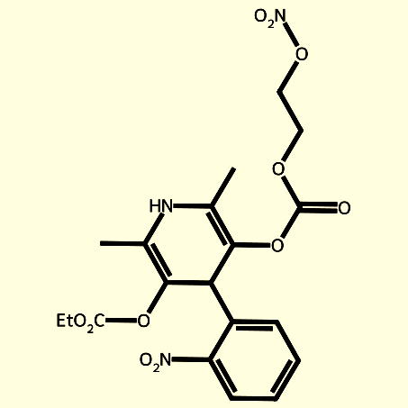 CCOC(=O)OC1=C(C)NC(C)=C(OC(=O)OCCO[N+](=O)[O-])C1c1ccccc1[N+](=O)[O-]